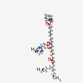 CCCCCC(CCCCC)CCOC(=O)CCCCCCCN(CCCCCCCCOC(=O)CC12CC3CC(CC(C3)C1)C2)OC(=O)CCCN(CC)CC